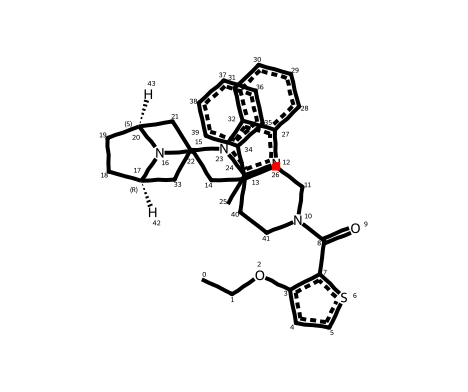 CCOc1ccsc1C(=O)N1CCC(CCN2[C@@H]3CC[C@H]2CC(n2c(C)nc4ccccc42)C3)(c2ccccc2)CC1